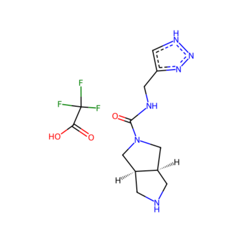 O=C(NCc1c[nH]nn1)N1C[C@H]2CNC[C@H]2C1.O=C(O)C(F)(F)F